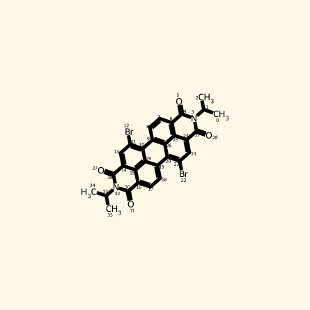 CC(C)N1C(=O)c2ccc3c4c(Br)cc5c6c(ccc(c7c(Br)cc(c2c37)C1=O)c64)C(=O)N(C(C)C)C5=O